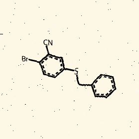 N#Cc1cc(SCc2ccccc2)ccc1Br